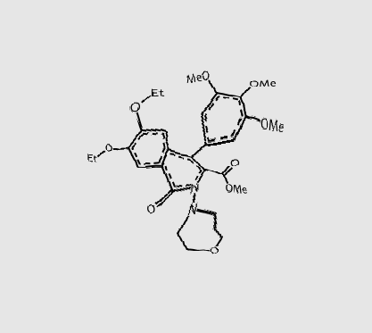 CCOc1cc2c(-c3cc(OC)c(OC)c(OC)c3)c(C(=O)OC)n(N3CCOCC3)c(=O)c2cc1OCC